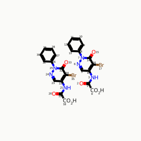 O=C(O)C(=O)Nc1cnn(-c2ccccc2)c(=O)c1Br.O=C(O)C(=O)Nc1cnn(-c2ccccc2)c(=O)c1Br